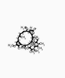 CCC(=O)N(C)C(C)C(=O)N(C)C(C)C(=O)OC1CC(=O)N(C)c2cc(cc(OC)c2Cl)C/C(C)=C/C=C/C(OC)C2(O)CC(OC(=O)N2)C(C)C2OC12C